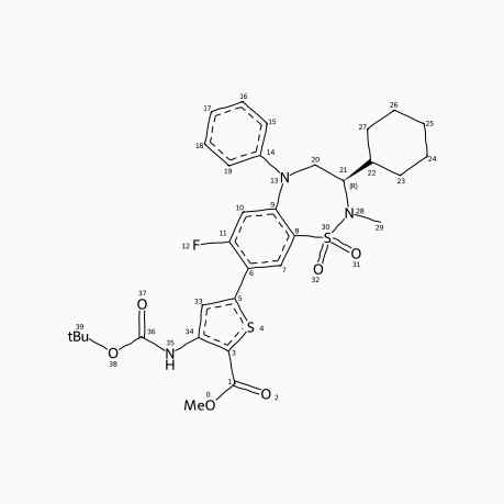 COC(=O)c1sc(-c2cc3c(cc2F)N(c2ccccc2)C[C@@H](C2CCCCC2)N(C)S3(=O)=O)cc1NC(=O)OC(C)(C)C